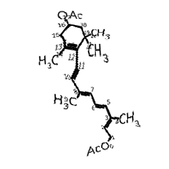 CC(=O)OCC=C(C)C=CC=C(C)C=CC1=C(C)C[C@@H](OC(C)=O)CC1(C)C